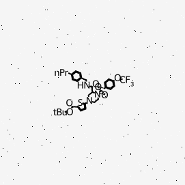 CCCc1ccc(CNC(=O)C2CN(c3ccc(C(=O)OC(C)(C)C)s3)CCN2S(=O)(=O)c2ccc(OC(F)(F)F)cc2)cc1